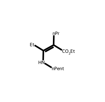 CCCCCNC(CC)=C(CCC)C(=O)OCC